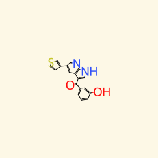 O=C(c1cccc(O)c1)c1c[nH]c2ncc(-c3ccsc3)cc12